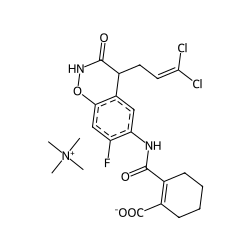 C[N+](C)(C)C.O=C([O-])C1=C(C(=O)Nc2cc3c(cc2F)ONC(=O)C3CC=C(Cl)Cl)CCCC1